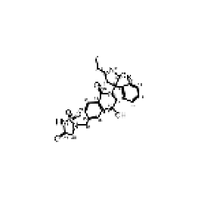 CCCCC(C(N)=O)(c1ccccc1Br)N(CC(=O)O)C(=O)c1ccc(CN2CC(=O)NS2(=O)=O)cc1